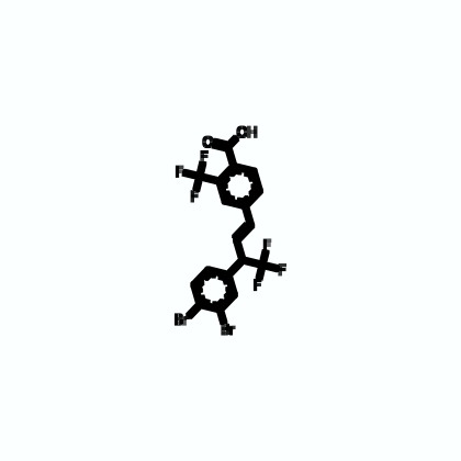 O=C(O)c1ccc(C=CC(c2ccc(Br)c(Br)c2)C(F)(F)F)cc1C(F)(F)F